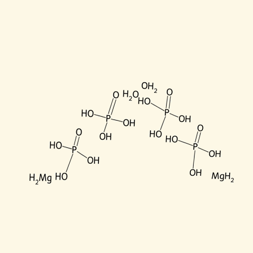 O.O.O=P(O)(O)O.O=P(O)(O)O.O=P(O)(O)O.O=P(O)(O)O.[MgH2].[MgH2]